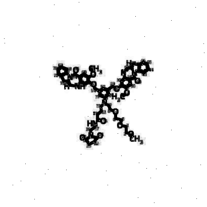 COCCOCCOCCN(CCCC(=O)NCCN1C(=O)CCC1=O)c1cc(COc2cc3c(cc2OC)C(=O)N2c4ccccc4C[C@H]2C=N3)cc(COc2cc3c(cc2OC)C(=O)N2c4ccccc4C[C@H]2CN3)c1